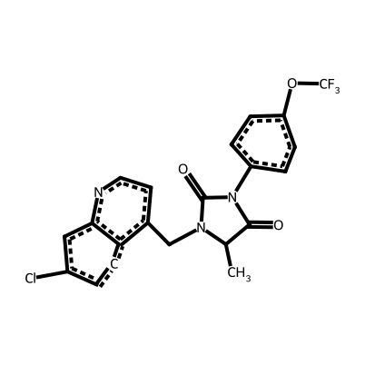 CC1C(=O)N(c2ccc(OC(F)(F)F)cc2)C(=O)N1Cc1ccnc2cc(Cl)ccc12